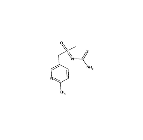 CS(=O)(Cc1ccc(C(F)(F)F)nc1)=NC(N)=S